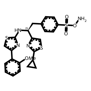 COc1ccccc1-c1csc(N[C@@H](Cc2ccc(S(=O)(=O)ON)cc2)c2csc(C3CC3)n2)n1